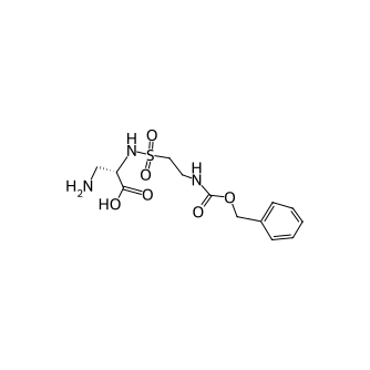 NC[C@H](NS(=O)(=O)CCNC(=O)OCc1ccccc1)C(=O)O